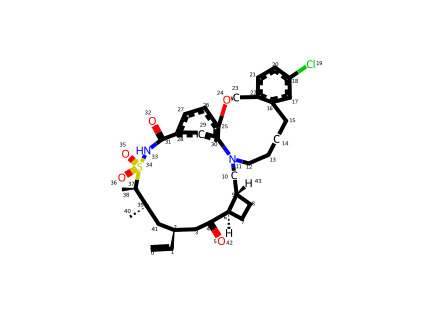 C=C[C@@H]1CC(=O)[C@@H]2CC[C@H]2CN2CCCCc3cc(Cl)ccc3COc3ccc(cc32)C(=O)NS(=O)(=O)[C@H](C)[C@@H](C)C1